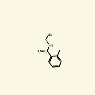 Cc1ncccc1[C@@H](N)NSC(C)(C)C